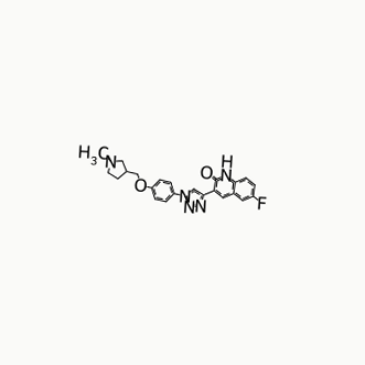 CN1CCC(COc2ccc(-n3cc(-c4cc5cc(F)ccc5[nH]c4=O)nn3)cc2)C1